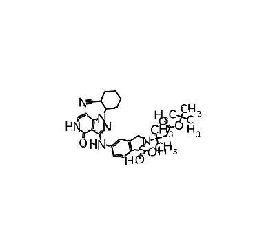 CC(C)(C)OC(=O)CC(C)(C)N1Cc2cc(Nc3nn(C4CCCCC4C#N)c4cc[nH]c(=O)c34)ccc2S1(O)O